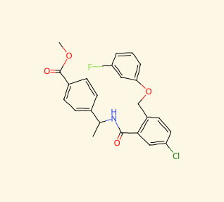 COC(=O)c1ccc(C(C)NC(=O)c2cc(Cl)ccc2COc2cccc(F)c2)cc1